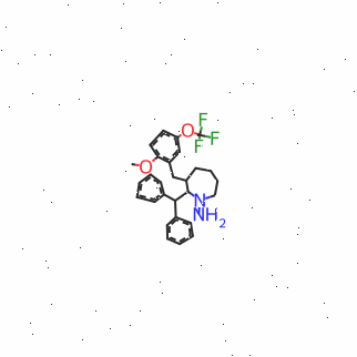 COc1ccc(OC(F)(F)F)cc1CC1CCCCN(N)C1C(c1ccccc1)c1ccccc1